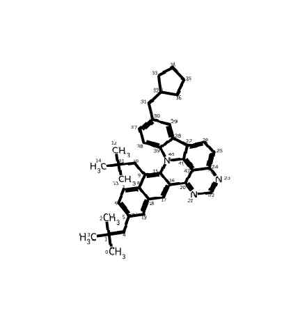 CC(C)(C)Cc1ccc2c(CC(C)(C)C)c3c(cc2c1)c1ncnc2ccc4c5cc(CC6CCCC6)ccc5n3c4c21